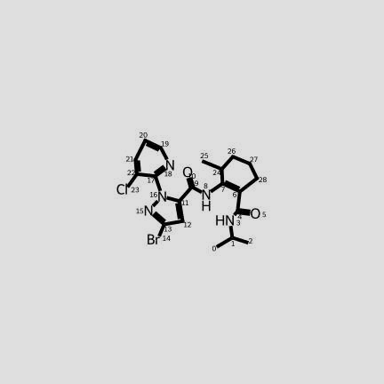 CC(C)NC(=O)C1=C(NC(=O)c2cc(Br)nn2-c2ncccc2Cl)C(C)CCC1